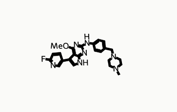 COc1nc(Nc2ccc(CN3CCN(C)CC3)cc2)nc2[nH]cc(-c3ccc(F)nc3)c12